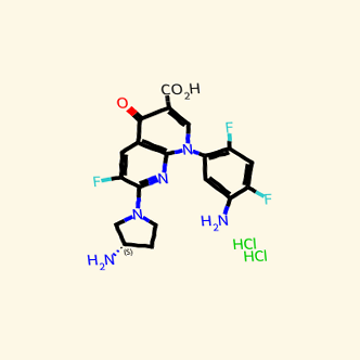 Cl.Cl.Nc1cc(-n2cc(C(=O)O)c(=O)c3cc(F)c(N4CC[C@H](N)C4)nc32)c(F)cc1F